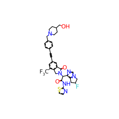 O=C(Nc1nccs1)C(c1ncn2c1CC(F)C2)N1Cc2c(cc(C#Cc3ccc(CN4CCC(CO)CC4)cc3)cc2C(F)(F)F)C1=O